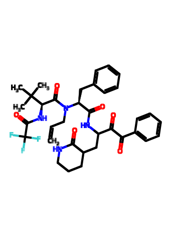 C=CCN(C(=O)[C@@H](NC(=O)C(F)(F)F)C(C)(C)C)[C@@H](Cc1ccccc1)C(=O)NC(CC1CCCNC1=O)C(=O)C(=O)c1ccccc1